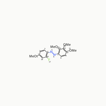 COc1ccc(/N=N/c2ccc(OC)c(OC)c2OC)c(F)c1